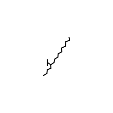 CCCCCCCCCCC(I)CCCC